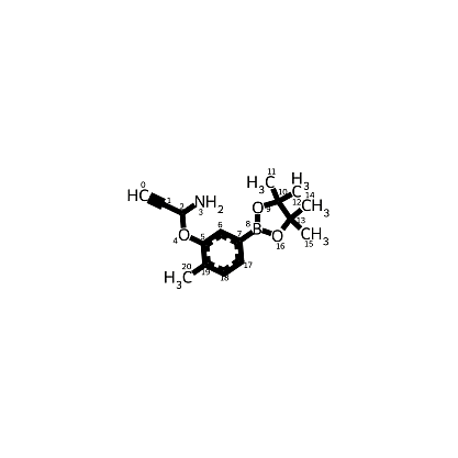 C#CC(N)Oc1cc(B2OC(C)(C)C(C)(C)O2)ccc1C